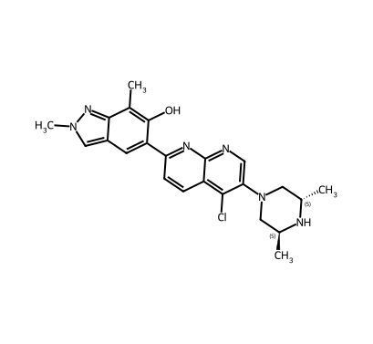 Cc1c(O)c(-c2ccc3c(Cl)c(N4C[C@H](C)N[C@@H](C)C4)cnc3n2)cc2cn(C)nc12